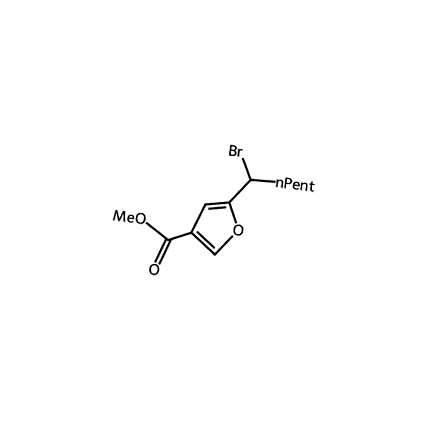 CCCCCC(Br)c1cc(C(=O)OC)co1